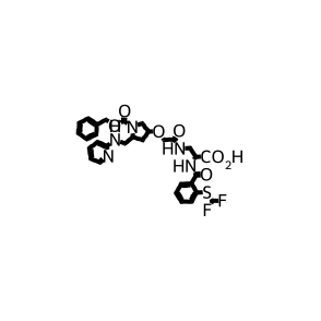 O=C(COC1CC(CNc2ccccn2)N(C(=O)OCc2ccccc2)C1)NCC(NC(=O)c1ccccc1SC(F)F)C(=O)O